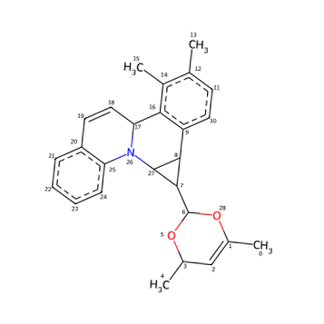 CC1=CC(C)OC(C2C3c4ccc(C)c(C)c4C4C=Cc5ccccc5N4C32)O1